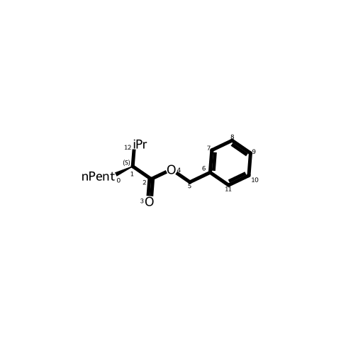 CCCCC[C@H](C(=O)OCc1ccccc1)C(C)C